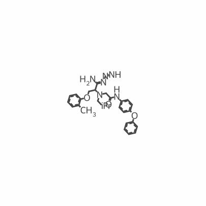 Cc1ccccc1OCC(/C(N)=N/N=N)N(CC(=O)Nc1ccc(Oc2ccccc2)cc1)CC(C)C